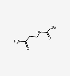 CC(C)(C)C(=O)NCCC(N)=O